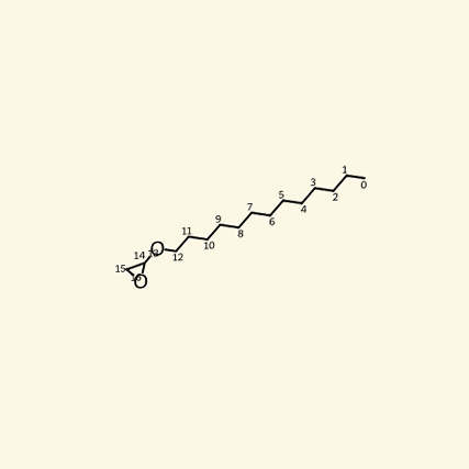 CCCCCCCCCCCCCOC1CO1